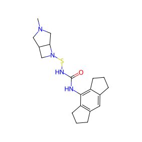 CN1CC2CN(SNC(=O)Nc3c4c(cc5c3CCC5)CCC4)C2C1